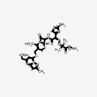 COCc1cc(SCC2=C(C(=O)O)N3C(=O)C(NC(=O)/C(=N\OC(C)(C)C(=O)NN)c4csc(N)n4)[C@H]3SC2)n2nc(C)cc2n1